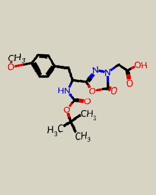 COc1ccc(CC(NC(=O)OC(C)(C)C)c2nn(CC(=O)O)c(=O)o2)cc1